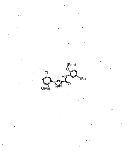 CCCC(C)Oc1ccc(C(C)(C)C)cc1NC(=O)c1nnn(-c2cc(Cl)ccc2OC)c1C